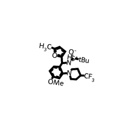 COc1ccc(C(N[S+]([O-])C(C)(C)C)c2ccc(C)o2)c(N2CCC(C(F)(F)F)CC2)c1